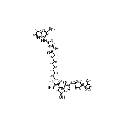 CCCc1cc(N[C@@H]2CC[C@@H](NC(=O)CCCCCCCCCN[C@H](C(=O)C3C[C@H](O)C[C@H]3C(=O)NCc3ccc(-c4scnc4C)cc3)C(C)(C)C)C2)n2nccc2n1